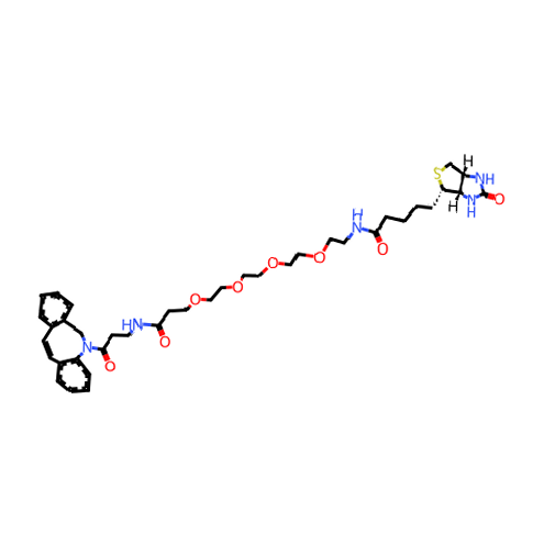 O=C(CCCC[C@@H]1SC[C@@H]2NC(=O)N[C@@H]21)NCCOCCOCCOCCOCCC(=O)NCCC(=O)N1Cc2ccccc2/C=C\c2ccccc21